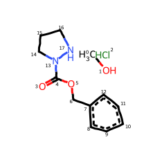 CO.Cl.O=C(OCc1ccccc1)N1CCCN1